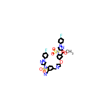 COC(=O)c1cc(OC2CN(Cc3ccc(N(c4cnn(-c5ccc(F)cc5)c4)[SH](=O)=O)c(C#N)c3)C2)ccc1N(c1cnn(-c2ccc(F)cc2)c1)[SH](=O)=O